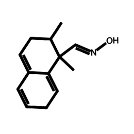 CC1CC=C2C=CCC=C2C1(C)C=NO